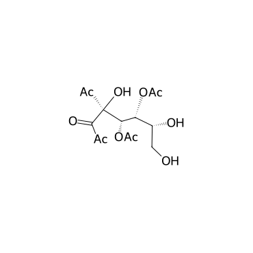 CC(=O)O[C@H]([C@H](O)CO)[C@H](OC(C)=O)[C@@](O)(C(C)=O)C(=O)C(C)=O